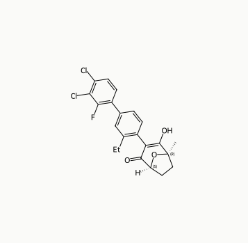 CCc1cc(-c2ccc(Cl)c(Cl)c2F)ccc1C1=C(O)[C@@]2(C)CC[C@H](O2)C1=O